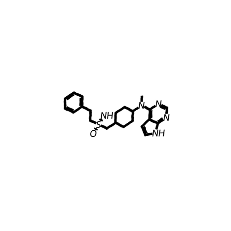 CN(c1ncnc2[nH]ccc12)C1CCC(CS(=N)(=O)CCc2ccccc2)CC1